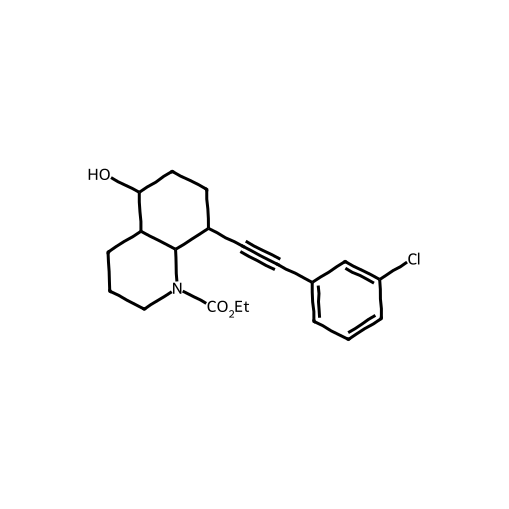 CCOC(=O)N1CCCC2C(O)CCC(C#Cc3cccc(Cl)c3)C21